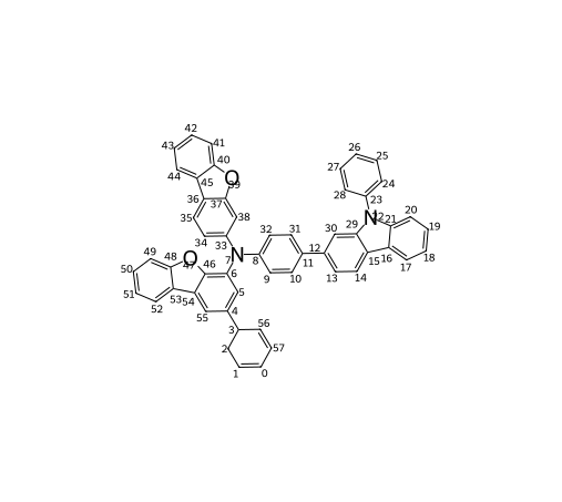 C1=CCC(c2cc(N(c3ccc(-c4ccc5c6ccccc6n(-c6ccccc6)c5c4)cc3)c3ccc4c(c3)oc3ccccc34)c3oc4ccccc4c3c2)C=C1